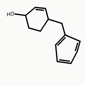 OC1C=CC(Cc2ccccc2)CC1